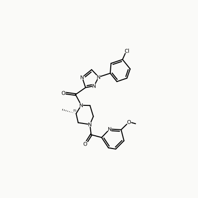 COc1cccc(C(=O)N2CCN(C(=O)c3ncn(-c4cccc(Cl)c4)n3)[C@@H](C)C2)n1